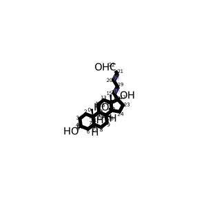 C[C@]12CC[C@H](O)C[C@H]1CC[C@@H]1[C@@H]2CC[C@]2(C)[C@](O)(/C=C/C=C/C=O)CC[C@]12O